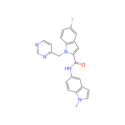 Cn1ccc2cc(NC(=O)c3cc4cc(F)ccc4n3Cc3ccncn3)ccc21